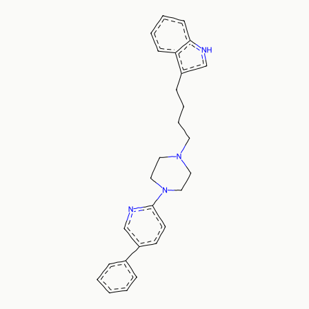 c1ccc(-c2ccc(N3CCN(CCCCc4c[nH]c5ccccc45)CC3)nc2)cc1